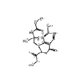 CCCCOC(=O)C1CC(=O)c2cnc(SC)nc2N1CC(C)(C)NC(=O)OC(C)(C)C